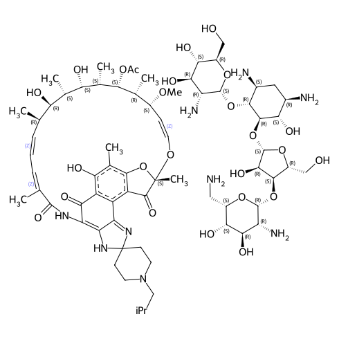 CO[C@@H]1/C=C\O[C@@]2(C)Oc3c(C)c(O)c4c(c3C2=O)C2=NC3(CCN(CC(C)C)CC3)NC2=C(NC(=O)/C(C)=C\C=C/[C@@H](C)[C@@H](O)[C@H](C)[C@H](O)[C@H](C)[C@H](OC(C)=O)[C@@H]1C)C4=O.NC[C@@H]1O[C@H](O[C@H]2[C@@H](O)[C@H](O[C@@H]3[C@@H](O)[C@H](N)C[C@H](N)[C@H]3O[C@H]3O[C@H](CO)[C@@H](O)[C@H](O)[C@H]3N)O[C@@H]2CO)[C@H](N)[C@@H](O)[C@@H]1O